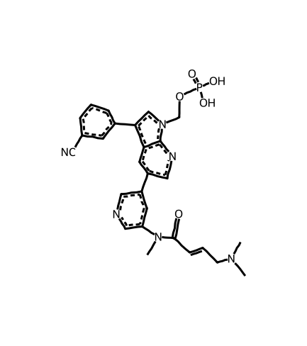 CN(C)CC=CC(=O)N(C)c1cncc(-c2cnc3c(c2)c(-c2cccc(C#N)c2)cn3COP(=O)(O)O)c1